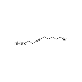 CCCCCCCCC#CCCCCCBr